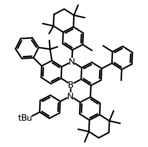 Cc1cc2c(cc1N1c3cc(-c4c(C)cccc4C)cc4c3B(c3ccc5c(c31)C(C)(C)c1ccccc1-5)N(c1ccc(C(C)(C)C)cc1)c1cc3c(cc1-4)C(C)(C)CCC3(C)C)C(C)(C)CCC2(C)C